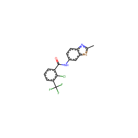 Cc1nc2ccc(NC(=O)c3cccc(C(F)(F)F)c3Cl)cc2s1